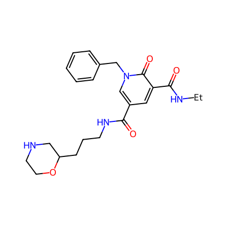 CCNC(=O)c1cc(C(=O)NCCCC2CNCCO2)cn(Cc2ccccc2)c1=O